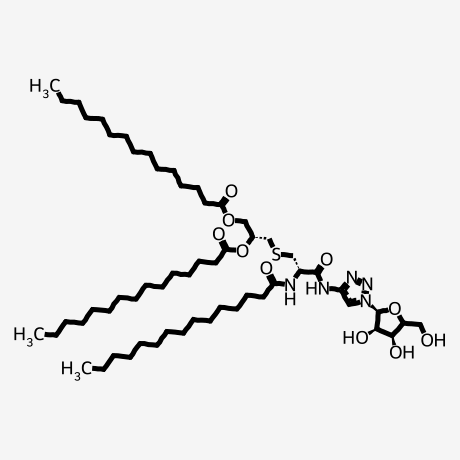 CCCCCCCCCCCCCCC(=O)N[C@H](CSC[C@@H](COC(=O)CCCCCCCCCCCCCC)OC(=O)CCCCCCCCCCCCCC)C(=O)Nc1cn([C@H]2OC(CO)[C@@H](O)[C@H]2O)nn1